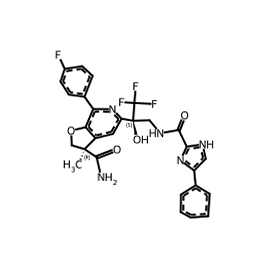 C[C@]1(C(N)=O)COc2c1cc([C@@](O)(CNC(=O)c1nc(-c3ccccc3)c[nH]1)C(F)(F)F)nc2-c1ccc(F)cc1